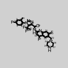 Cc1cc(F)ccc1-n1nnc(C(=O)Nc2cc(F)c3cc(CN4CCNCC4)c(F)cc3n2)c1C(F)(F)F